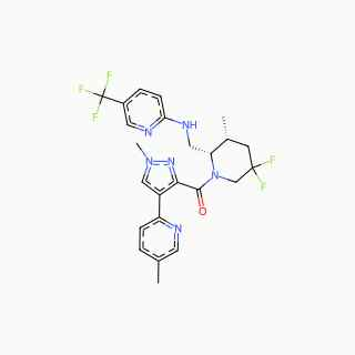 Cc1ccc(-c2cn(C)nc2C(=O)N2CC(F)(F)C[C@@H](C)[C@H]2CNc2ccc(C(F)(F)F)cn2)nc1